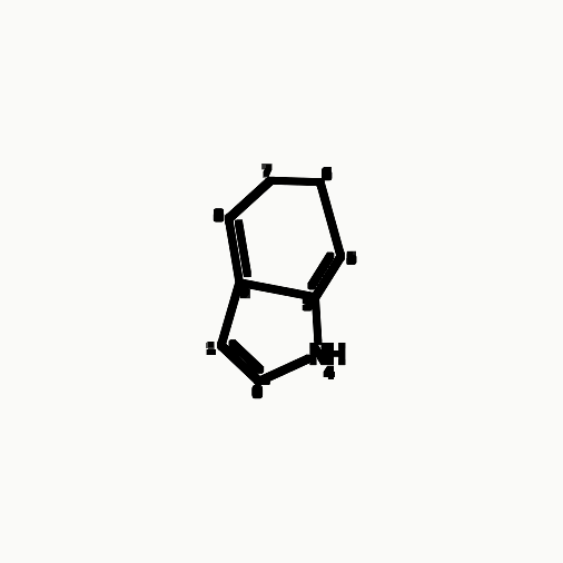 [c]1cc2c([nH]1)=CCCC=2